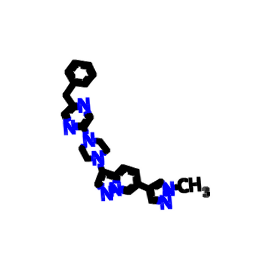 Cn1cc(-c2ccc3c(N4CCN(c5cnc(Cc6ccccc6)cn5)CC4)cnn3c2)cn1